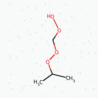 CC(C)OOCOO